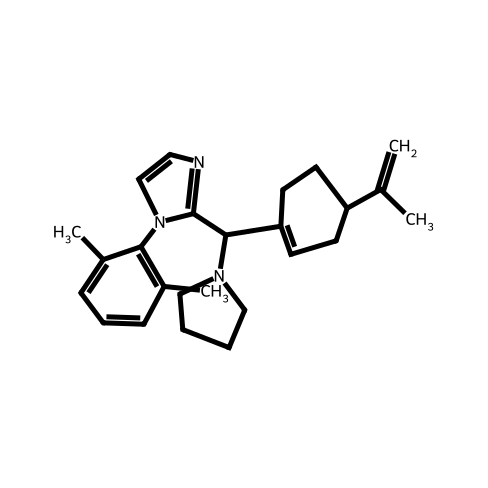 C=C(C)C1CC=C(C(c2nccn2-c2c(C)cccc2C)N2CCCC2)CC1